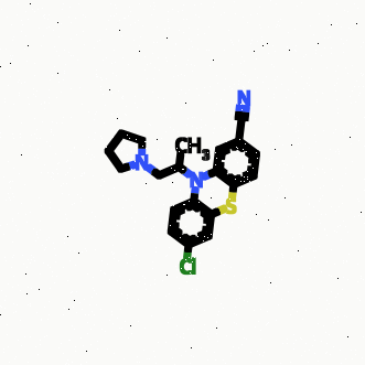 CC(CN1CCCC1)N1c2ccc(Cl)cc2Sc2ccc(C#N)cc21